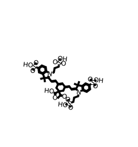 CC(=O)C1(C(=O)O)CC(/C=C/C2=[N+](CCCS(=O)(=O)O)c3ccc(S(=O)(=O)O)cc3C2(C)C)=CC(=C/C=C2/N(CCCS(=O)(=O)O)c3ccc(S(=O)(=O)O)cc3C2(C)C)/C1